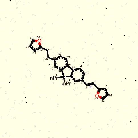 CCCC1(CCC)c2cc(/C=C/c3ccco3)ccc2-c2ccc(CCc3ccco3)cc21